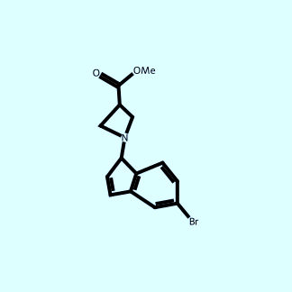 COC(=O)C1CN(C2C=Cc3cc(Br)ccc32)C1